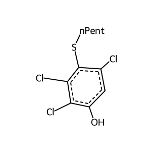 CCCCCSc1c(Cl)cc(O)c(Cl)c1Cl